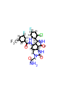 NC(=O)CN1Cc2cc(NC(=O)c3cc(F)cc(C(F)(F)F)c3)c3c(c2NC1=O)C(=O)NC3c1ccc(F)cc1Cl